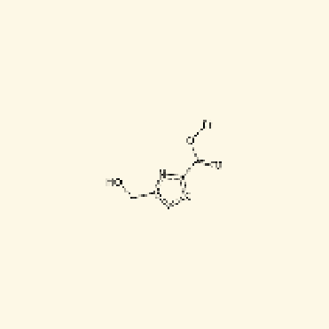 CCOC(=O)c1nc(CO)cs1